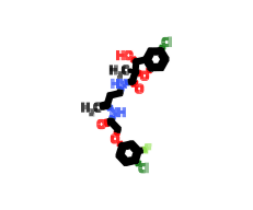 C=C(CCNC(=O)[C@@]1(C)Oc2ccc(Cl)cc2C1O)NC(=O)COc1ccc(Cl)c(F)c1